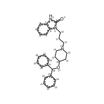 O=c1[nH]c2ccccc2n1CCCN1CCC(OC(c2ccccc2)c2ccccc2)CC1